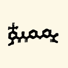 CNC(=O)c1cc(Sc2cccc(NC(=O)Nc3cc(C(F)(F)F)ccc3OC)c2)ccn1